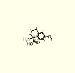 COc1ccc2c(c1)CCCC2(N)C(=O)O